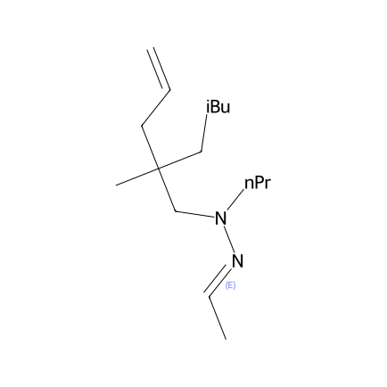 C=CCC(C)(CC(C)CC)CN(CCC)/N=C/C